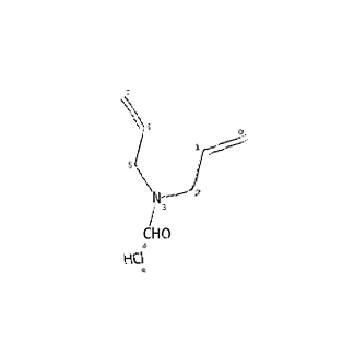 C=CCN(C=O)CC=C.Cl